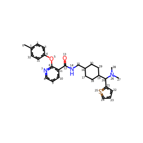 Cc1ccc(Oc2ncccc2C(=O)NCC2CCC(C(c3cccs3)N(C)C)CC2)cc1